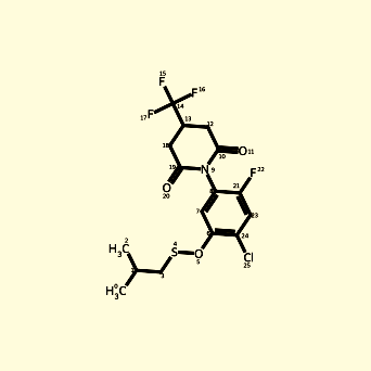 CC(C)CSOc1cc(N2C(=O)CC(C(F)(F)F)CC2=O)c(F)cc1Cl